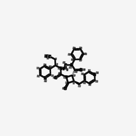 CCC(NC(=O)N1C(=O)[C@H](Cc2ccncc2)[C@H]1C(=O)N(C)c1ccccc1)c1cccnc1